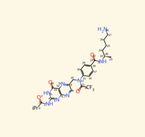 CC(C)C(=O)Nc1nc2ncc(CN(C(=O)C(F)(F)F)c3ccc(C(=O)N[C@H](C)CCCCN)cc3)nc2c(=O)[nH]1